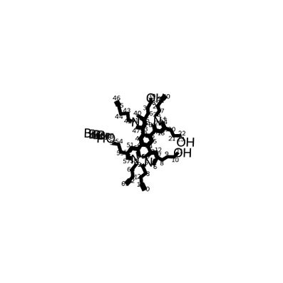 C#CCCC[n+]1cc(CCCO)cc(-c2cc(-c3cc(CCCO)c[n+](CCCC#C)c3)c(-c3cc(CCCO)c[n+](CCCC#C)c3)cc2-c2cc(CCCO)c[n+](CCCC#C)c2)c1.[Br-].[Br-].[Br-].[Br-]